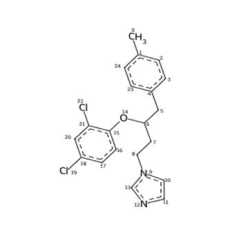 Cc1ccc(CC(CCn2ccnc2)Oc2ccc(Cl)cc2Cl)cc1